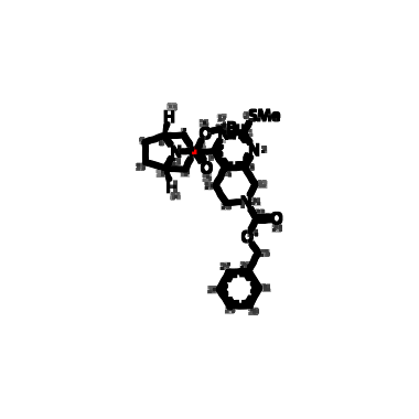 CSc1nc2c(c(N3C[C@H]4CC[C@@H](C3)N4C(=O)OC(C)(C)C)n1)CCN(C(=O)OCc1ccccc1)C2